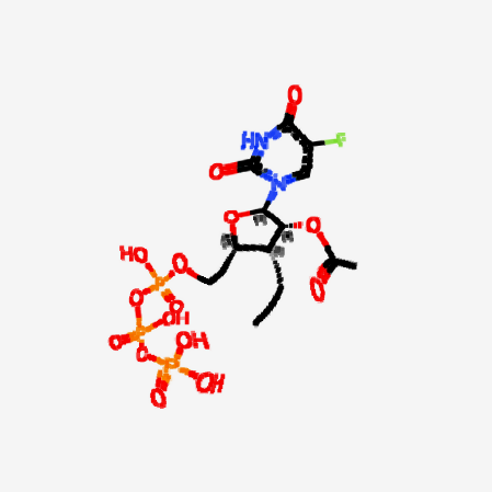 CC[C@H]1[C@@H](OC(C)=O)[C@H](n2cc(F)c(=O)[nH]c2=O)O[C@@H]1COP(=O)(O)OP(=O)(O)OP(=O)(O)O